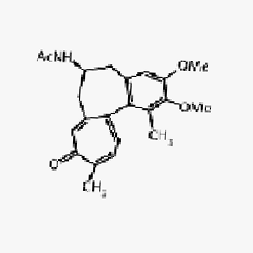 COc1cc2c(c(C)c1OC)-c1ccc(C)c(=O)cc1C[C@@H](NC(C)=O)C2